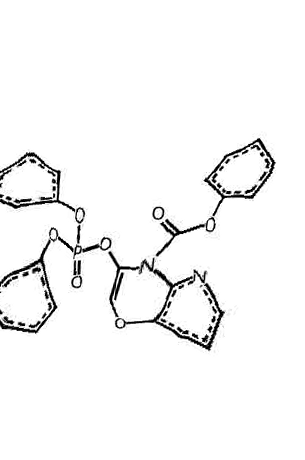 O=C(Oc1ccccc1)N1C(OP(=O)(Oc2ccccc2)Oc2ccccc2)=COc2cccnc21